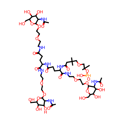 CC(=O)NC1C(OCCOCCNC(=O)CCC(NC(=O)CCC(NC(=O)CC(C)(C)COCC(C)(C)O[PH](=O)O)C(=O)NCCOCCOC2OC(CO)C(O)C(O)C2NC(C)=O)C(=O)NCCOCCOC2OC(CO)C(O)C(O)C2NC(C)=O)OC(CO)C(O)C1O